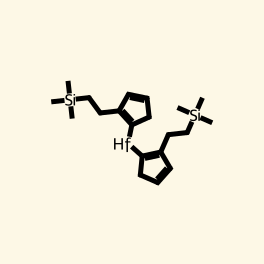 C[Si](C)(C)CCC1=[C]([Hf][C]2=C(CC[Si](C)(C)C)C=CC2)CC=C1